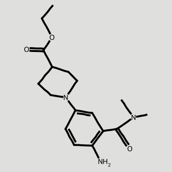 CCOC(=O)C1CCN(c2ccc(N)c(C(=O)N(C)C)c2)CC1